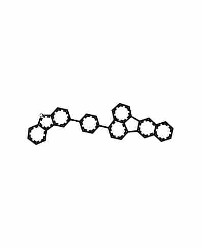 c1ccc2cc3c(cc2c1)-c1cccc2c(-c4ccc(-c5ccc6oc7ccccc7c6c5)cc4)ccc-3c12